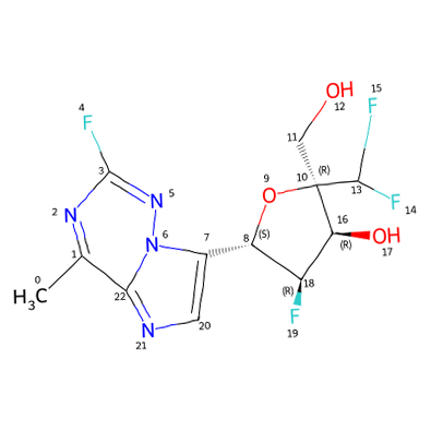 Cc1nc(F)nn2c([C@@H]3O[C@@](CO)(C(F)F)[C@@H](O)[C@H]3F)cnc12